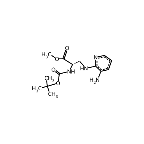 COC(=O)[C@H](CNc1ncccc1N)NC(=O)OC(C)(C)C